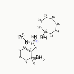 BC1(C)CCCC2=C1C/C(=N\BC1CCCCCCC1)N2C(C)C